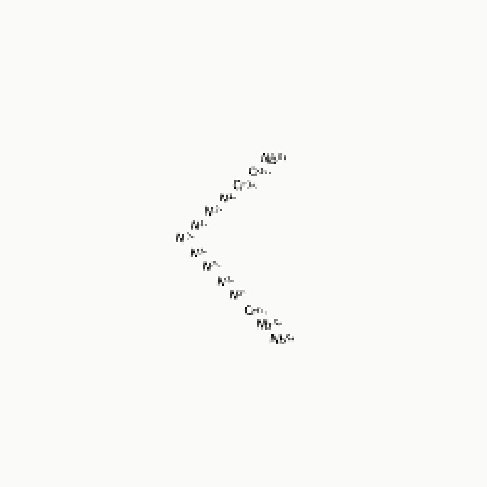 [Cr+3].[Cr+3].[Cr+3].[N-3].[N-3].[N-3].[N-3].[N-3].[N-3].[N-3].[N-3].[Nb+5].[Nb+5].[Nb+5]